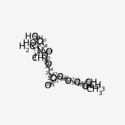 C=CCN(CC=C)[C@@H](Cc1ccc(O)c(O)c1)C(=O)OCCOCCCc1cc(C=O)cc(OCCOCCOCCOC(C)(C)C)c1